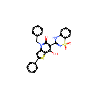 O=c1c(C2=NS(=O)(=O)c3ccccc3N2)c(O)c2sc(-c3ccccc3)cc2n1Cc1ccccc1